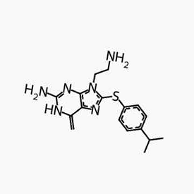 C=C1NC(N)=Nc2c1nc(Sc1ccc(C(C)C)cc1)n2CCN